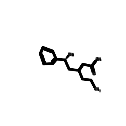 CCCC(CC(=O)O)C[C@@H](O)c1ccccc1